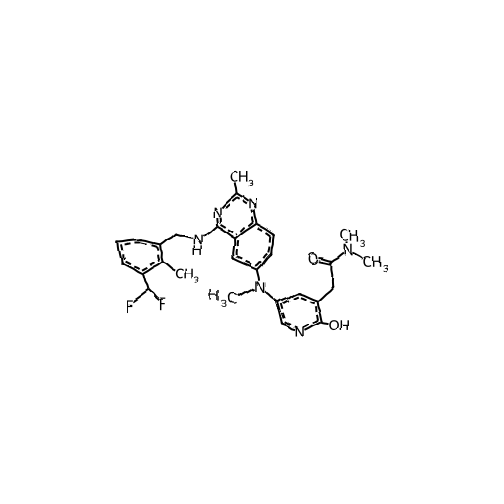 Cc1nc(NCc2cccc(C(F)F)c2C)c2cc(N(C)c3cnc(O)c(CC(=O)N(C)C)c3)ccc2n1